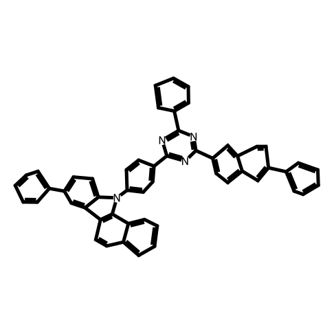 c1ccc(-c2ccc3cc(-c4nc(-c5ccccc5)nc(-c5ccc(-n6c7ccc(-c8ccccc8)cc7c7ccc8ccccc8c76)cc5)n4)ccc3c2)cc1